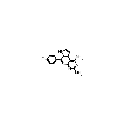 Nc1nc(N)c2c(cc(-c3ccc(F)cc3)c3[nH]ccc32)n1